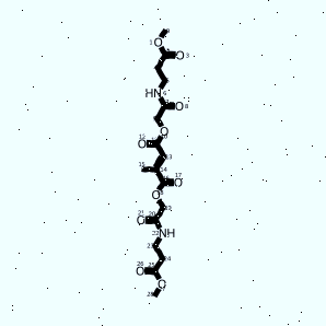 COC(=O)CCNC(=O)COC(=O)/C=C(\C)C(=O)OCC(=O)NCCC(=O)OC